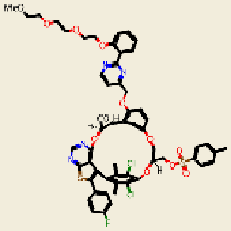 COCCOCCOCCOc1ccccc1-c1nccc(COc2ccc3cc2C[C@H](C(=O)O)Oc2ncnc4sc(-c5ccc(F)cc5)c(c24)-c2c(C)c(Cl)c(c(Cl)c2C)O[C@H](COS(=O)(=O)c2ccc(C)cc2)CO3)n1